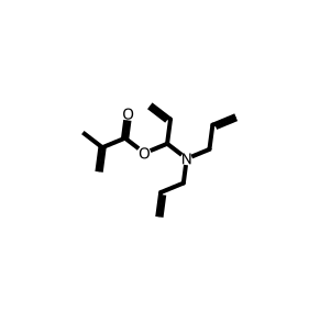 C=CCN(CC=C)C(C=C)OC(=O)C(=C)C